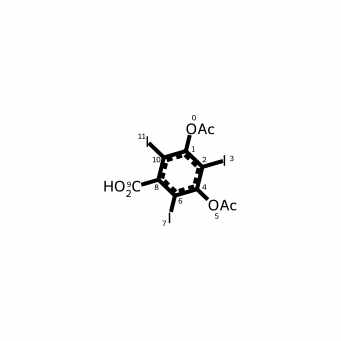 CC(=O)Oc1c(I)c(OC(C)=O)c(I)c(C(=O)O)c1I